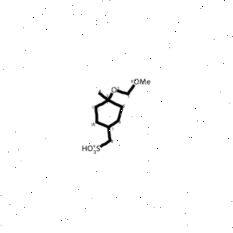 COCOC1(C)CCC(CS(=O)(=O)O)CC1